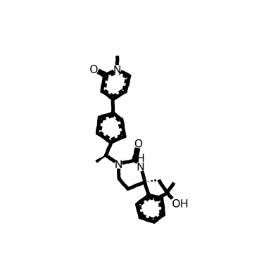 C[C@@H](c1ccc(-c2ccn(C)c(=O)c2)cc1)N1CC[C@](CC(C)(C)O)(c2ccccc2)NC1=O